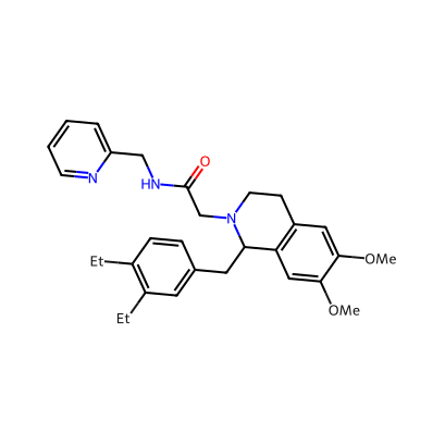 CCc1ccc(CC2c3cc(OC)c(OC)cc3CCN2CC(=O)NCc2ccccn2)cc1CC